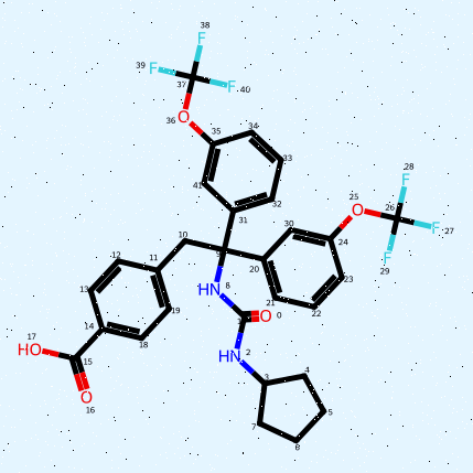 O=C(NC1CCCC1)NC(Cc1ccc(C(=O)O)cc1)(c1cccc(OC(F)(F)F)c1)c1cccc(OC(F)(F)F)c1